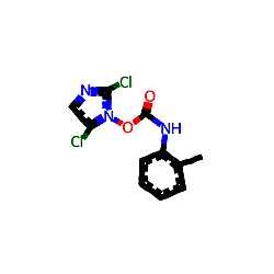 Cc1ccccc1NC(=O)On1c(Cl)cnc1Cl